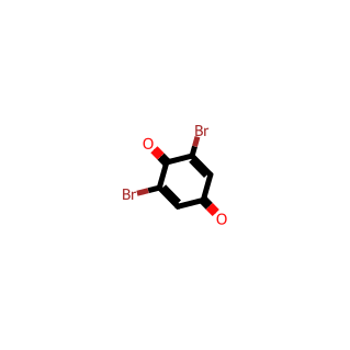 O=C1C=C(Br)C(=O)C(Br)=C1